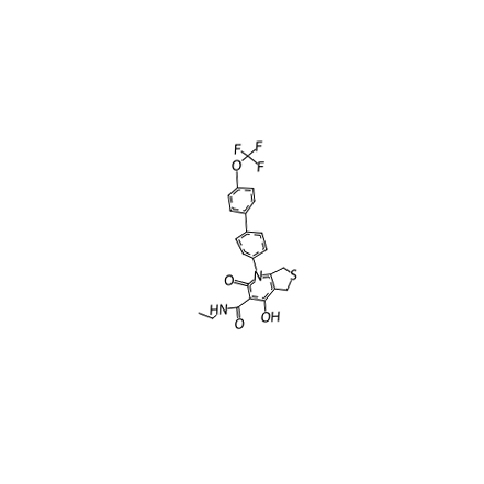 CCNC(=O)c1c(O)c2c(n(-c3ccc(-c4ccc(OC(F)(F)F)cc4)cc3)c1=O)CSC2